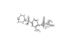 Cc1cc(S(=O)(=O)N2CCOCC2)ccc1NC(=O)[C@@](C)(O)C(F)(F)F